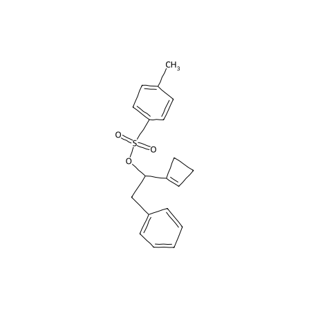 Cc1ccc(S(=O)(=O)OC(Cc2ccccc2)C2=CCC2)cc1